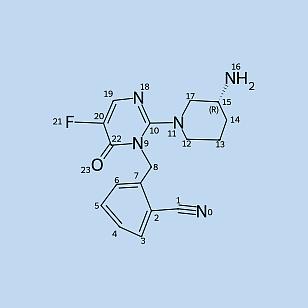 N#Cc1ccccc1Cn1c(N2CCC[C@@H](N)C2)ncc(F)c1=O